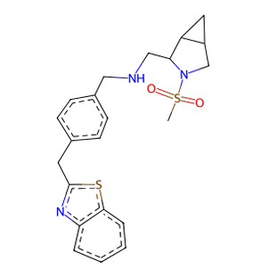 CS(=O)(=O)N1CC2CC2C1CNCc1ccc(Cc2nc3ccccc3s2)cc1